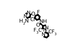 Nc1ncnc(Oc2ccc(NC(=O)c3cnn(-c4ncccc4C(F)(F)F)c3C(F)(F)F)cc2F)c1Cl